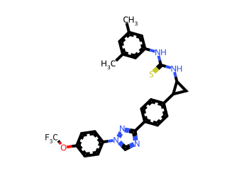 Cc1cc(C)cc(NC(=S)NC2CC2c2ccc(-c3ncn(-c4ccc(OC(F)(F)F)cc4)n3)cc2)c1